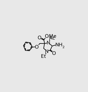 CCN1CC(COc2ccccc2)(C(=O)OC)N(C(C)=O)C(N)C1=O